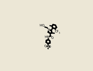 Cc1cccc(C(F)(F)F)c1-c1c(C)c(C(=O)Nc2ccc(S(C)(=O)=O)cc2)cn1CCO